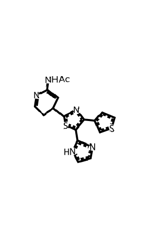 CC(=O)NC1=CC(c2nc(-c3ccsc3)c(-c3ncc[nH]3)s2)CC=N1